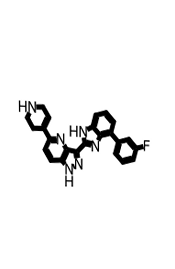 Fc1cccc(-c2cccc3[nH]c(-c4n[nH]c5ccc(C6=CCNCC6)nc45)nc23)c1